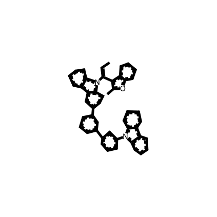 C/C=C(\c1c(C)oc2ccccc12)n1c2ccccc2c2cc(-c3cccc(-c4cccc(-n5c6ccccc6c6ccccc65)c4)c3)ccc21